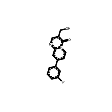 O=c1c(CO)cnc2cc(-c3cccc(Br)c3)ccn12